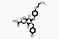 CCCOc1ccc(/N=c2\[nH]c(=O)n(C[C@H](C)C(=O)O)c(=O)n2Cc2ccc(Cl)cc2)cc1